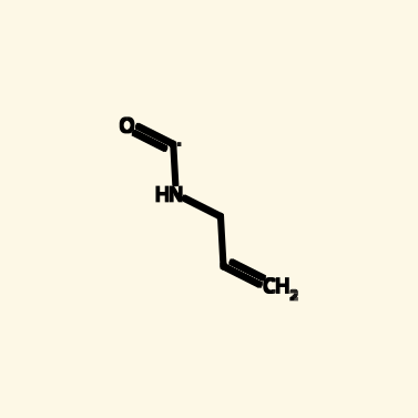 C=CCN[C]=O